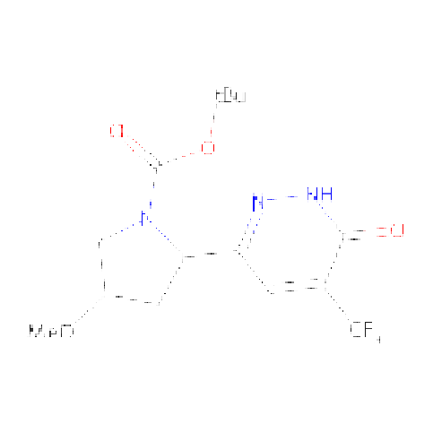 COC1CC(c2cc(C(F)(F)F)c(=O)[nH]n2)N(C(=O)OC(C)(C)C)C1